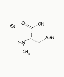 CN[C@@H](C[SeH])C(=O)O.[Se]